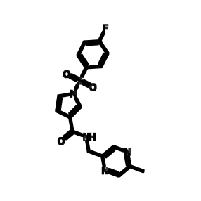 Cc1cnc(CNC(=O)c2ccn(S(=O)(=O)c3ccc(F)cc3)c2)cn1